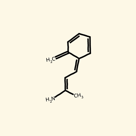 C=c1cccc/c1=C/C=C(\C)N